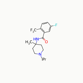 CC(C)N1CCC(C)(NC(=O)c2cc(F)ccc2C(F)(F)F)CC1